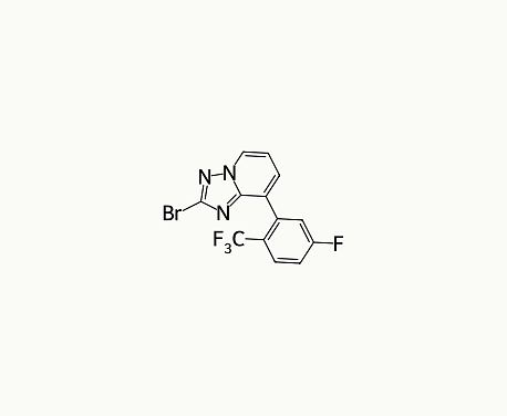 Fc1ccc(C(F)(F)F)c(-c2cccn3nc(Br)nc23)c1